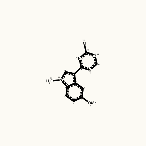 COc1ccc2c(c1)c(-c1ncnc(Cl)n1)cn2C